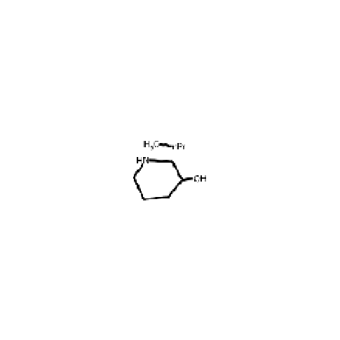 CCCC.OC1CCCNC1